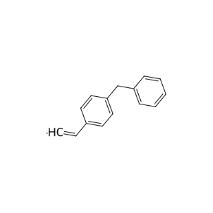 [CH]=Cc1ccc(Cc2ccccc2)cc1